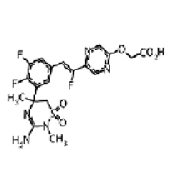 CN1C(N)=NC(C)(c2cc(C=C(F)c3cnc(OCC(=O)O)cn3)cc(F)c2F)CS1(=O)=O